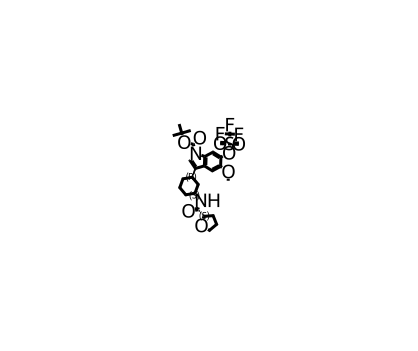 COc1cc2c([C@@H]3CCC[C@H](NC(=O)[C@@H]4CCCO4)C3)cn(C(=O)OC(C)(C)C)c2cc1OS(=O)(=O)C(F)(F)F